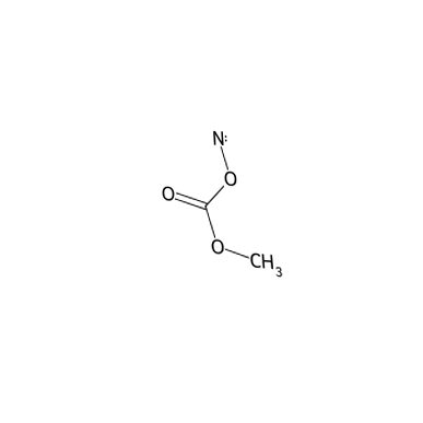 COC(=O)O[N]